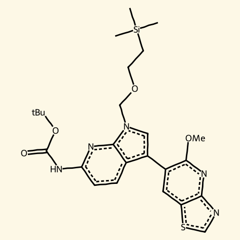 COc1nc2ncsc2cc1-c1cn(COCC[Si](C)(C)C)c2nc(NC(=O)OC(C)(C)C)ccc12